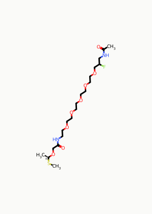 CS[C@@H](C)OCC(=O)NCCOCCOCCOCCOCCOCC(F)CNC(C)=O